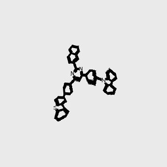 c1ccc2cc(-c3nc(-c4ccc(-c5ccc6sc7ccccc7c6c5)cc4)cc(-c4ccc(-n5c6ccccc6c6ccccc65)cc4)n3)ccc2c1